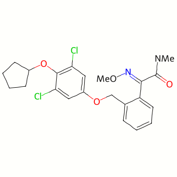 CNC(=O)/C(=N/OC)c1ccccc1COc1cc(Cl)c(OC2CCCC2)c(Cl)c1